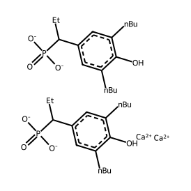 CCCCc1cc(C(CC)P(=O)([O-])[O-])cc(CCCC)c1O.CCCCc1cc(C(CC)P(=O)([O-])[O-])cc(CCCC)c1O.[Ca+2].[Ca+2]